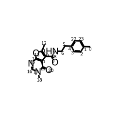 Cc1ccc(CCNC(=O)c2c(C)oc3ncn(C)c(=O)c23)cc1